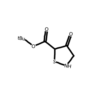 CC(C)(C)OC(=O)C1SNCC1=O